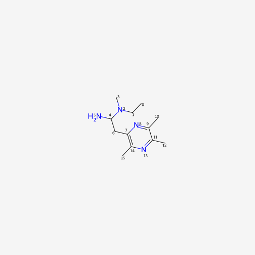 CCN(C)C(N)Cc1nc(C)c(C)nc1C